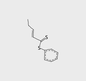 CCC=CC(=S)Sc1ccccc1